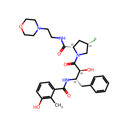 Cc1c(O)cccc1C(=O)N[C@@H](Cc1ccccc1)[C@H](O)C(=O)N1C[C@@H](F)C[C@H]1C(=O)NCCN1CCOCC1